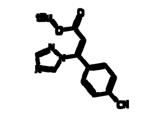 CC(C)(C)OC(=O)C=C(c1ccc(C#N)cc1)n1cncn1